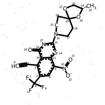 C#Cc1c(C(F)(F)F)cc([N+](=O)[O-])c2sc(N3CCC4(CC3)OC[C@H](C)O4)nc(=O)c12